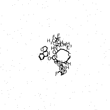 CC[C@@H]1C[C@H](C)CC/C=C\[C@@H]2C[C@@]2(C(=O)NS(=O)(=O)C2(CF)CC2)NC(=O)[C@@H]2C[C@@H](Oc3nc4c(c5ccccc35)OCCC4)CN2C(=O)C1NC(=O)OC(C)(C)C(F)(F)F